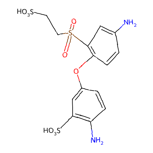 Nc1ccc(Oc2ccc(N)c(S(=O)(=O)O)c2)c(S(=O)(=O)CCS(=O)(=O)O)c1